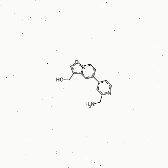 NCc1cc(-c2ccc3occ(CO)c3c2)ccn1